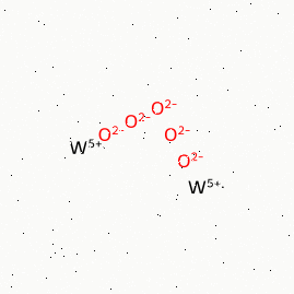 [O-2].[O-2].[O-2].[O-2].[O-2].[W+5].[W+5]